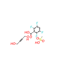 CS(=O)(=O)O.O=C(O)c1c(F)c(F)cc(F)c1F.OCC#CCO